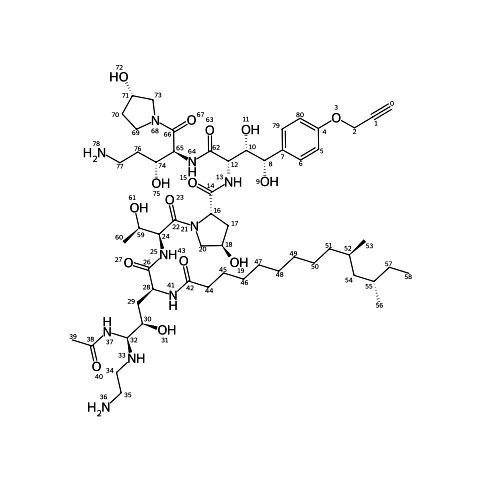 C#CCOc1ccc([C@H](O)[C@@H](O)[C@H](NC(=O)[C@@H]2C[C@@H](O)CN2C(=O)[C@@H](NC(=O)[C@H](C[C@@H](O)[C@@H](NCCN)NC(C)=O)NC(=O)CCCCCCCC[C@@H](C)C[C@@H](C)CC)[C@@H](C)O)C(=O)N[C@H](C(=O)N2CC[C@H](O)C2)[C@H](O)CCN)cc1